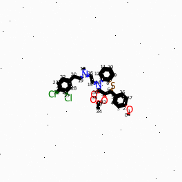 COc1ccc(C2Sc3ccccc3N(CCN(C)CCc3ccc(Cl)c(Cl)c3)C(=O)C2OC(C)=O)cc1